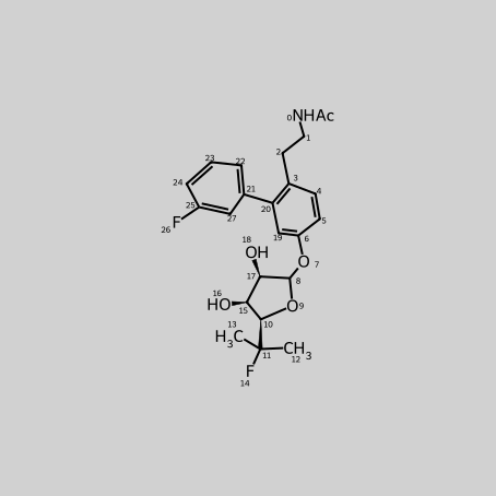 CC(=O)NCCc1ccc(OC2O[C@@H](C(C)(C)F)[C@@H](O)[C@H]2O)cc1-c1cccc(F)c1